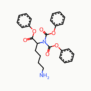 NCCCCC(C(=O)Oc1ccccc1)N(C(=O)Oc1ccccc1)C(=O)Oc1ccccc1